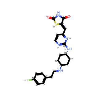 O=C1NC(=O)/C(=C/c2ccnc(N[C@H]3CC[C@H](NCCc4ccc(F)cc4)CC3)n2)S1